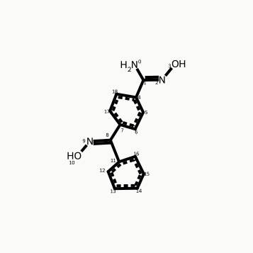 N/C(=N\O)c1ccc(/C(=N/O)c2ccccc2)cc1